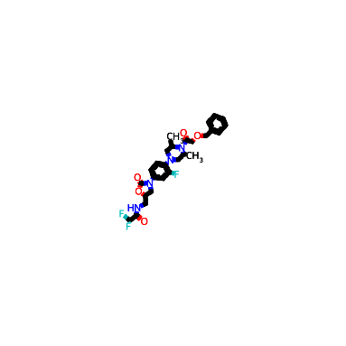 CC1CN(c2ccc(N3CC(CNC(=O)C(F)F)OC3=O)cc2F)CC(C)N1C(=O)COCc1ccccc1